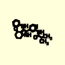 CC(C)C(=O)Nc1cc(-c2[nH]c3c(c2Nc2ccccc2)C(=O)CCC3)ccn1